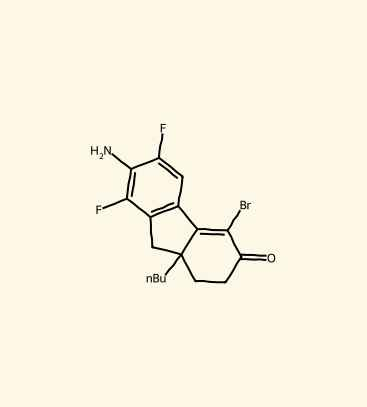 CCCCC12CCC(=O)C(Br)=C1c1cc(F)c(N)c(F)c1C2